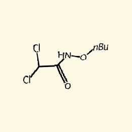 CCCCONC(=O)C(Cl)Cl